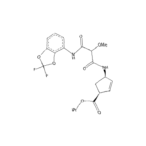 COC(C(=O)Nc1cccc2c1OC(F)(F)O2)C(=O)N[C@H]1C=C[C@@H](C(=O)OC(C)C)C1